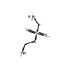 CCCCCS(=O)(=O)[CH]N